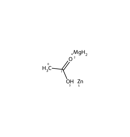 CC(=O)O.[MgH2].[Zn]